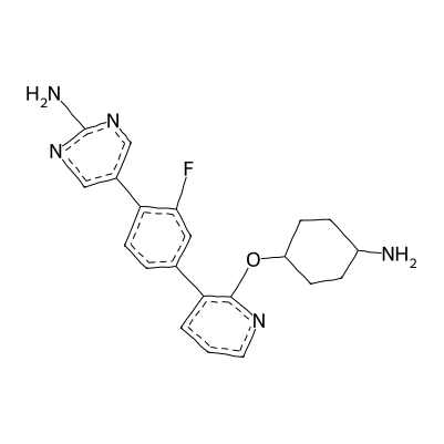 Nc1ncc(-c2ccc(-c3cccnc3OC3CCC(N)CC3)cc2F)cn1